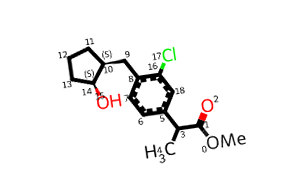 COC(=O)C(C)c1ccc(C[C@@H]2CCC[C@@H]2O)c(Cl)c1